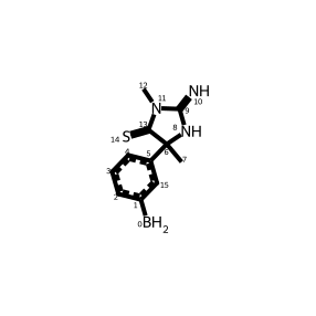 Bc1cccc(C2(C)NC(=N)N(C)C2=S)c1